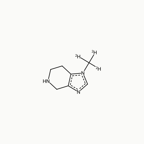 [2H]C([2H])([2H])n1cnc2c1CCNC2